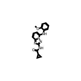 COc1ccccc1Nc1cccc2nc(NC(=O)C3CC3)nn12